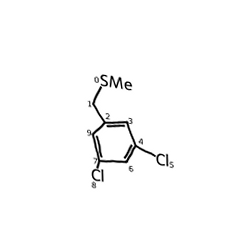 CSCc1cc(Cl)cc(Cl)c1